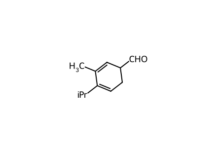 CC1=CC(C=O)CC=C1C(C)C